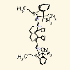 CCCN1/C(=C/C=C2\CCC3CCC(/C=C/C4=[N+](CCC)c5ccccc5C4(C)C)=C(Cl)C3=C2Cl)C(C)(C)c2ccccc21